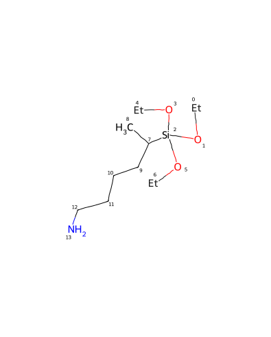 CCO[Si](OCC)(OCC)C(C)CCCCN